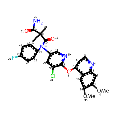 COc1cc2nccc(Oc3ncc(N(C(=O)C(C)(C)C(N)=O)c4ccc(F)cc4)cc3Cl)c2cc1OC